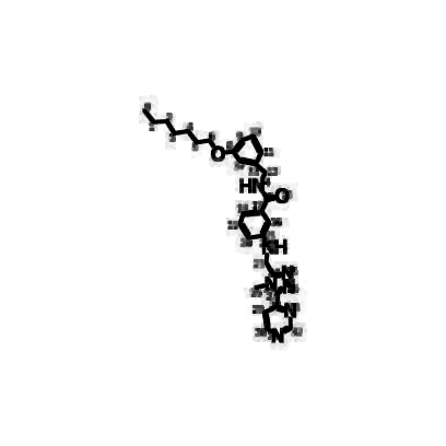 CCCCCCCOc1cccc(CNC(=O)c2cccc(NCc3nnc(-c4ccncn4)n3C)c2)c1